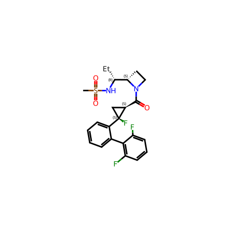 CC[C@@H](NS(C)(=O)=O)[C@@H]1CCN1C(=O)[C@@H]1C[C@@]1(F)c1ccccc1-c1c(F)cccc1F